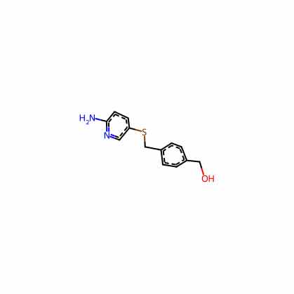 Nc1ccc(SCc2ccc(CO)cc2)cn1